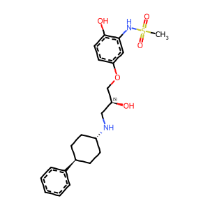 CS(=O)(=O)Nc1cc(OC[C@@H](O)CN[C@H]2CC[C@H](c3ccccc3)CC2)ccc1O